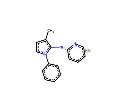 Br.Cc1ccn(-c2ccccc2)c1N.c1ccncc1